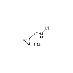 CCNCC1CC1.Cl